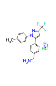 Cc1ccc(-n2nc(C(F)(F)F)cc2-c2ccc(CN)cc2)cc1.Cl.N